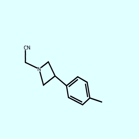 Cc1ccc(C2CN(CC#N)C2)cc1